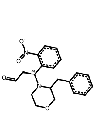 O=CC[C@@H](c1ccccc1[N+](=O)[O-])N1CCOCC1Cc1ccccc1